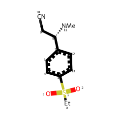 CCS(=O)(=O)c1ccc([C@H](CC#N)NC)cc1